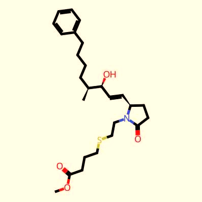 COC(=O)CCCSCCN1C(=O)CC[C@@H]1C=C[C@H](O)[C@@H](C)CCCCc1ccccc1